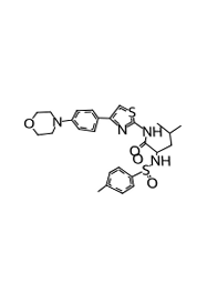 Cc1ccc(S(=O)(=O)NC(CC(C)C)C(=O)Nc2nc(-c3ccc(N4CCOCC4)cc3)cs2)cc1